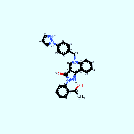 CC(O)c1ccccc1-n1nc2c3ccccc3n(Cc3ccc(-n4cccn4)cc3)cc-2c1=O